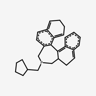 C1=c2ccccc2=C2c3c(ccc4c3=CCCC=4)CP(CC3CCCC3)CC2C1